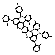 Cc1ccc(N2c3ccc(C)cc3B3c4cc5c(cc4Oc4cc(-c6ccccc6C)cc2c43)Oc2cc(-c3ccccc3C)cc3c2B5c2c(C)cccc2N3c2ccc(C)cc2)cc1